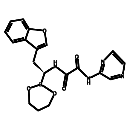 O=C(Nc1cnccn1)C(=O)N[C@@H](Cc1coc2ccccc12)B1OCCCO1